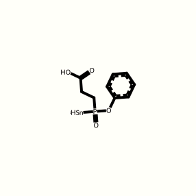 O=C(O)CC[P](=O)([SnH])Oc1ccccc1